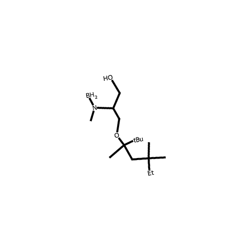 BN(C)C(CO)COC(C)(CC(C)(C)CC)C(C)(C)C